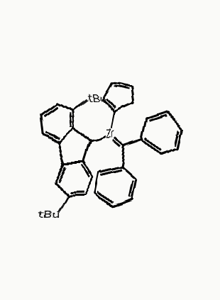 CC(C)(C)c1ccc2c(c1)-c1cccc(C(C)(C)C)c1[CH]2[Zr]([C]1=CC=CC1)=[C](c1ccccc1)c1ccccc1